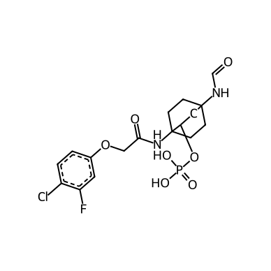 O=CNC12CCC(NC(=O)COc3ccc(Cl)c(F)c3)(CC1)C(OP(=O)(O)O)C2